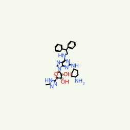 Cc1nnc([C@H]2O[C@@H](n3cnc4c(NCC(c5ccccc5)c5ccccc5)nc(N[C@H]5CC[C@H](N)CC5)nc43)[C@H](O)[C@@H]2O)[nH]1